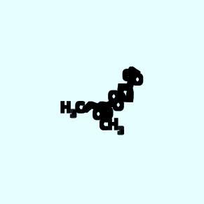 CCCCCC(OC(C)=O)C1Oc2ccc(C3OCCO3)cc2O1